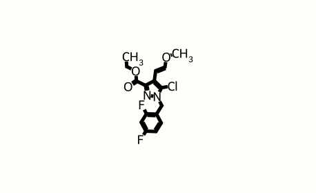 CCOC(=O)c1nn(Cc2ccc(F)cc2F)c(Cl)c1C=COC